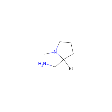 CCC1(CN)CCCN1C